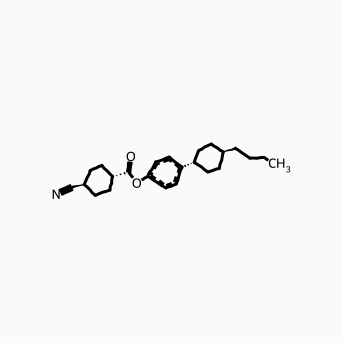 CCCC[C@H]1CC[C@H](c2ccc(OC(=O)[C@H]3CC[C@H](C#N)CC3)cc2)CC1